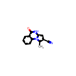 Cc1c(C#N)cc2[nH]c(=O)c3ccccc3n12